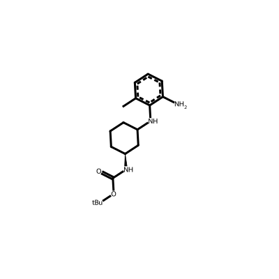 Cc1cccc(N)c1NC1CCC[C@H](NC(=O)OC(C)(C)C)C1